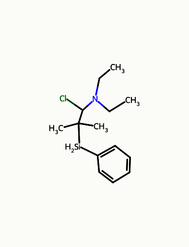 CCN(CC)C(Cl)C(C)(C)[SiH2]c1ccccc1